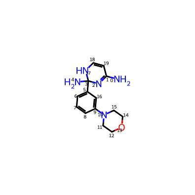 NC1=NC(N)(c2cccc(N3CCOCC3)c2)NC=C1